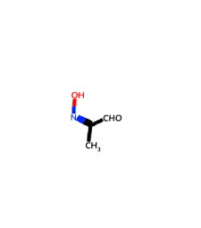 C/C(C=O)=N/O